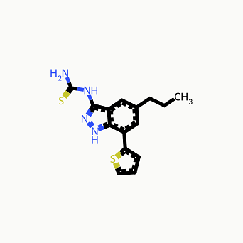 CCCc1cc(-c2cccs2)c2[nH]nc(NC(N)=S)c2c1